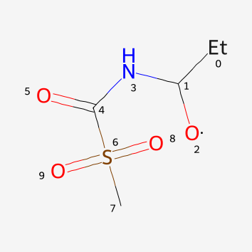 CCC([O])NC(=O)S(C)(=O)=O